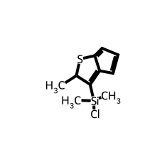 CC1SC2=CC=CC2=C1[Si](C)(C)Cl